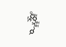 Cc1ccc(CCNC(=S)Nc2ccc3[nH]c(=O)cc(C(F)(F)F)c3c2)cc1